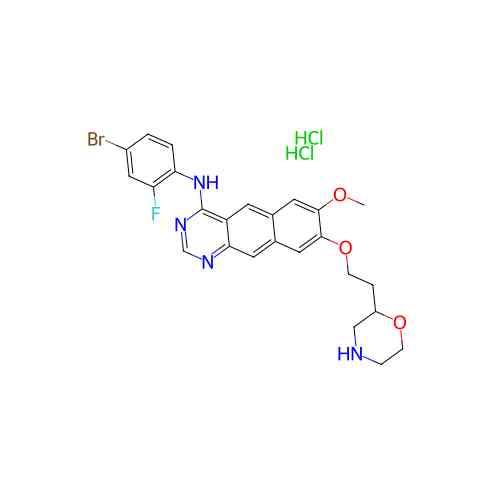 COc1cc2cc3c(Nc4ccc(Br)cc4F)ncnc3cc2cc1OCCC1CNCCO1.Cl.Cl